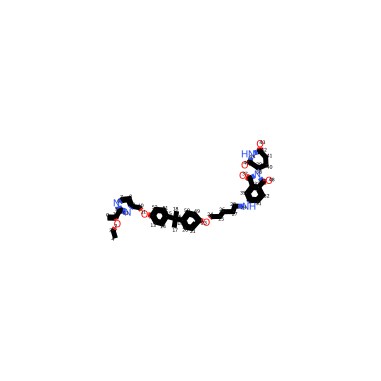 C=C(OCC)c1nccc(COc2ccc(C(C)(C)c3ccc(OCCCCCNc4ccc5c(c4)C(=O)N(C4CCC(=O)NC4=O)C5=O)cc3)cc2)n1